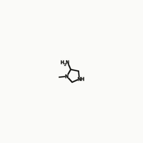 CN1CNCC1N